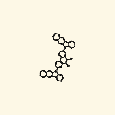 Brc1c(Br)c2cc(-n3c4ccccc4c4cc5ccccc5cc43)cnc2c2ccc(-n3c4ccccc4c4cc5ccccc5cc43)cc12